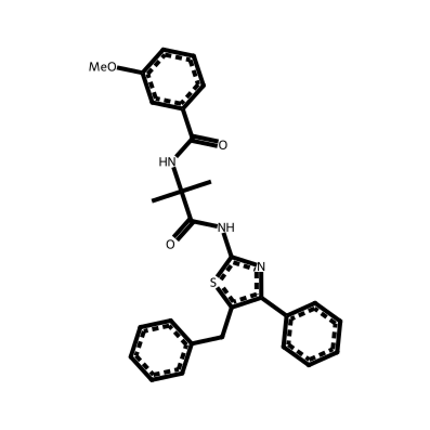 COc1cccc(C(=O)NC(C)(C)C(=O)Nc2nc(-c3ccccc3)c(Cc3ccccc3)s2)c1